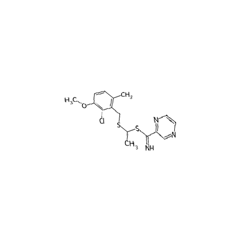 COc1ccc(C)c(CSC(C)SC(=N)c2cnccn2)c1Cl